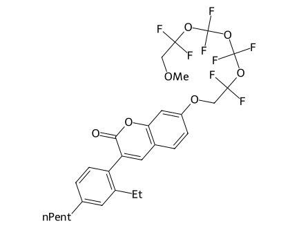 CCCCCc1ccc(-c2cc3ccc(OCC(F)(F)OC(F)(F)OC(F)(F)OC(F)(F)COC)cc3oc2=O)c(CC)c1